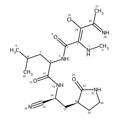 CN/C(C(=O)NC(CC(C)C)C(=O)N[C@H](C#N)C[C@@H]1CCNC1=O)=C(/Cl)C(C)=N